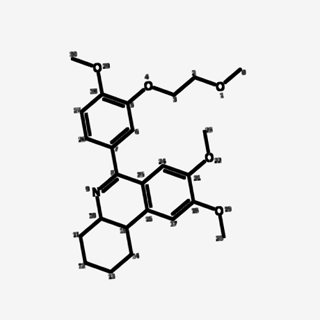 COCCOc1cc(C2=NC3CCCCC3c3cc(OC)c(OC)cc32)ccc1OC